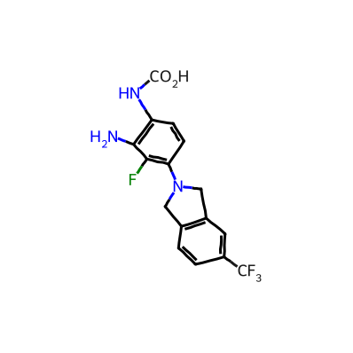 Nc1c(NC(=O)O)ccc(N2Cc3ccc(C(F)(F)F)cc3C2)c1F